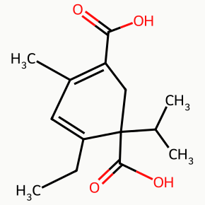 CCC1=CC(C)=C(C(=O)O)CC1(C(=O)O)C(C)C